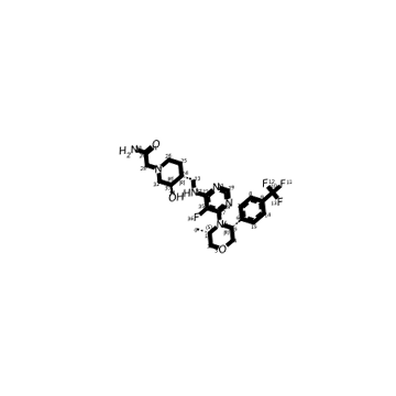 C[C@H]1COC[C@@H](c2ccc(C(F)(F)F)cc2)N1c1ncnc(NC[C@H]2CCN(CC(N)=O)C[C@@H]2O)c1F